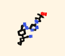 CC(C)(O)C1CN(c2cc(-n3ncc4ccc(C5(C#N)CC6(CC6)C5)cc43)ncn2)C1